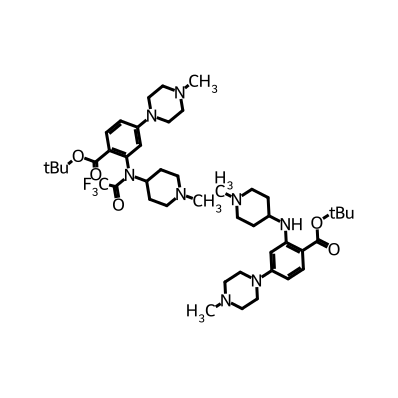 CN1CCC(N(C(=O)C(F)(F)F)c2cc(N3CCN(C)CC3)ccc2C(=O)OC(C)(C)C)CC1.CN1CCC(Nc2cc(N3CCN(C)CC3)ccc2C(=O)OC(C)(C)C)CC1